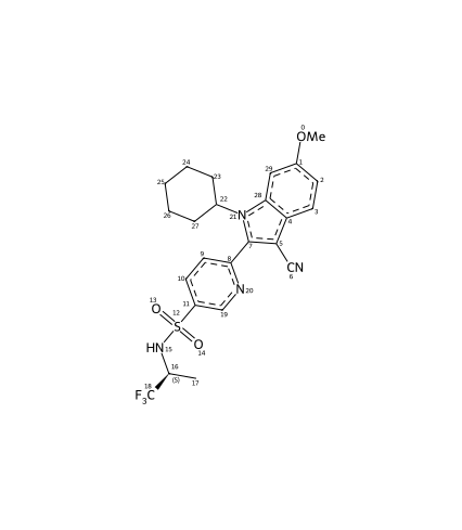 COc1ccc2c(C#N)c(-c3ccc(S(=O)(=O)N[C@@H](C)C(F)(F)F)cn3)n(C3CCCCC3)c2c1